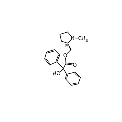 CN1CCC[C@@H]1COC(=O)C(O)(c1ccccc1)c1ccccc1